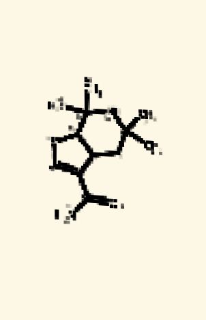 CC1(C)CC2C(C(N)=O)=CSC2C(C)(C)N1